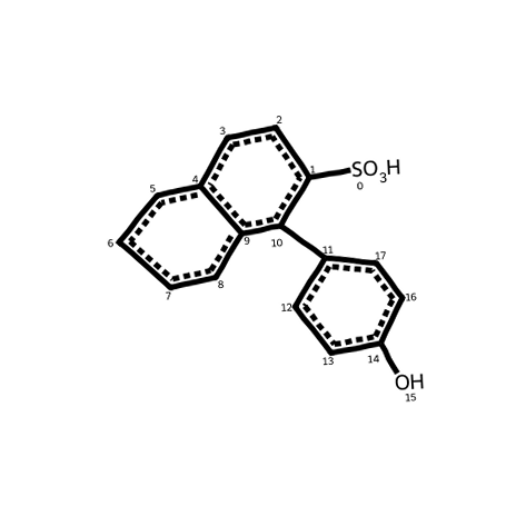 O=S(=O)(O)c1ccc2ccccc2c1-c1ccc(O)cc1